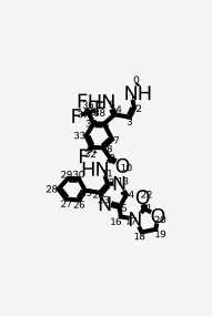 CN/C=C\C(=N)c1cc(C(=O)Nc2ncc(CN3CCOC3=O)nc2-c2ccccc2)c(F)cc1C(F)(F)F